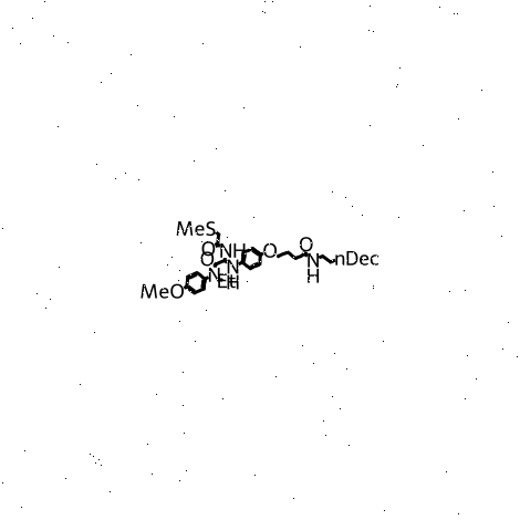 CCCCCCCCCCCCNC(=O)CCCOc1ccc(NC(NC(=O)CSC)C(=O)N(CC)c2ccc(OC)cc2)cc1